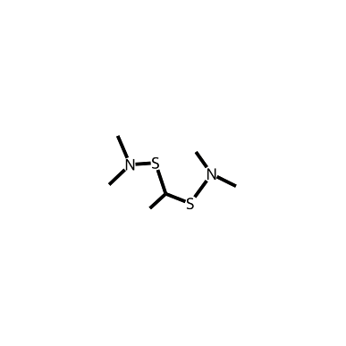 CC(SN(C)C)SN(C)C